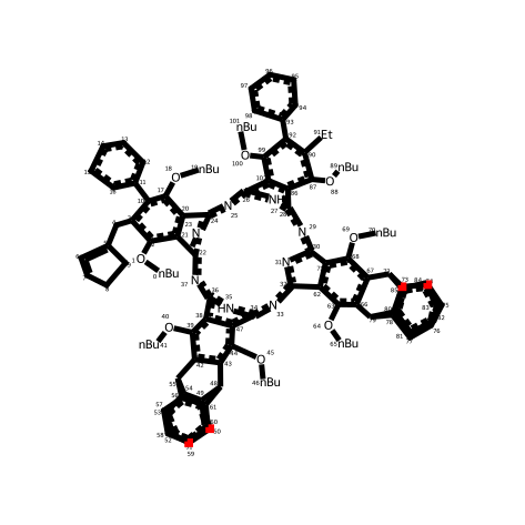 CCCCOc1c(CC2=C=CCC2)c(-c2ccccc2)c(OCCCC)c2c1-c1nc-2nc2[nH]c(nc3nc(nc4[nH]c(n1)c1c(OCCCC)c5c(c(OCCCC)c41)C1c4ccccc4C5c4ccccc41)-c1c(OCCCC)c4c(c(OCCCC)c1-3)C1c3ccccc3C4c3ccccc31)c1c(OCCCC)c(CC)c(-c3ccccc3)c(OCCCC)c21